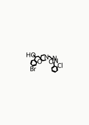 OC1CC2(CCN(Cc3nnc(-c4ccccc4Cl)o3)CC2)Oc2cc(Br)ccc21